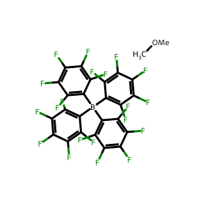 C[OH+]C.Fc1c(F)c(F)c([B-](c2c(F)c(F)c(F)c(F)c2F)(c2c(F)c(F)c(F)c(F)c2F)c2c(F)c(F)c(F)c(F)c2F)c(F)c1F